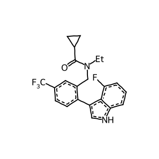 CCN(Cc1cc(C(F)(F)F)ccc1-c1c[nH]c2cccc(F)c12)C(=O)C1CC1